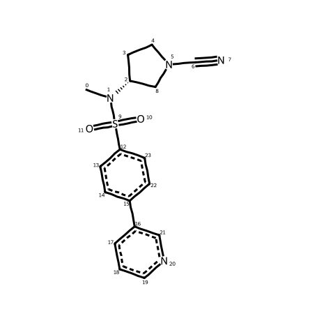 CN([C@@H]1CCN(C#N)C1)S(=O)(=O)c1ccc(-c2cccnc2)cc1